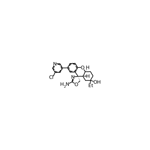 CCC1(O)CC[C@@H]2Oc3ccc(-c4cncc(Cl)c4)cc3[C@@]3(COC(N)=N3)[C@H]2C1